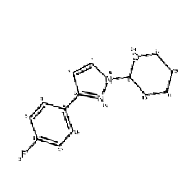 Fc1ccc(-c2ccn(C3CCCCO3)n2)cc1